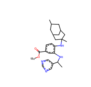 CC1CC2CC(C1)CC(C)(Nc1ccc(C(=O)OC(C)(C)C)cc1NC(C)c1cncnc1)C2